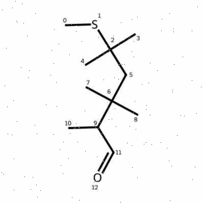 CSC(C)(C)CC(C)(C)C(C)C=O